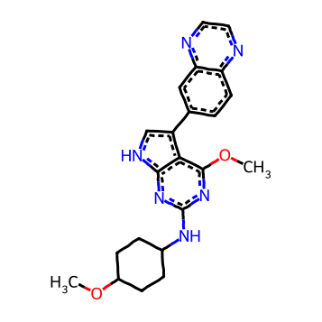 COc1nc(NC2CCC(OC)CC2)nc2[nH]cc(-c3ccc4nccnc4c3)c12